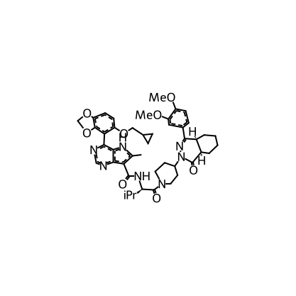 COc1ccc(C2=NN(C3CCN(C(=O)[C@H](NC(=O)c4c(C)[nH]c5c(-c6c(OCC7CC7)ccc7c6OCO7)ncnc45)C(C)C)CC3)C(=O)[C@@H]3CCCC[C@H]23)cc1OC